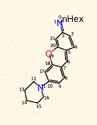 CCCCCC/N=c1\ccc2cc3ccc(N4CCCCC4)cc3oc-2c1